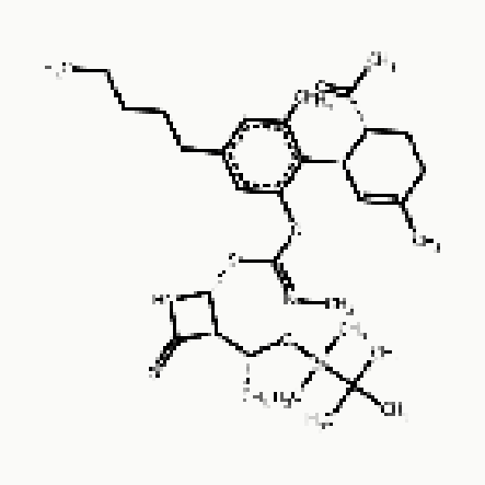 C=C(C)[C@@H]1CCC(C)=C[C@H]1c1c(O)cc(CCCCC)cc1O/C(=N\C)S[C@H]1NC(=O)[C@@H]1[C@@H](C)O[Si](C)(C)C(C)(C)C